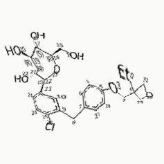 CCC1(COc2ccc(Cc3cc([C@@H]4O[C@H](CO)[C@@H](O)[C@H](O)[C@H]4O)ccc3Cl)cc2)COC1